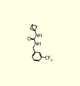 O=C(NCc1cccc(C(F)(F)F)c1)NC12CC(C1)C2